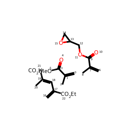 C=C(C)C(=O)OC.C=C(C)C(=O)OCC1CO1.C=C(C=C(C)C(=O)O)C(=O)OCC